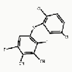 N#Cc1c(F)cc(Sc2cc(Cl)ccc2Cl)c(F)c1C#N